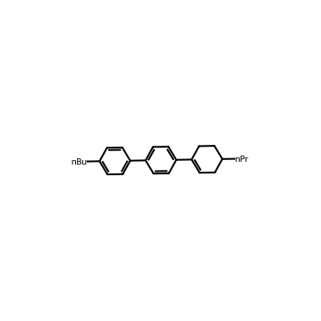 CCCCc1ccc(-c2ccc(C3=CCC(CCC)CC3)cc2)cc1